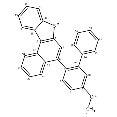 COc1ccc(-c2cc3sc4ccccc4c3c3ccccc23)c(-c2ccccc2)c1